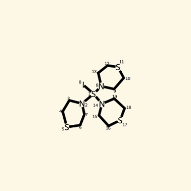 IS(N1CCSCC1)(N1CCSCC1)N1CCSCC1